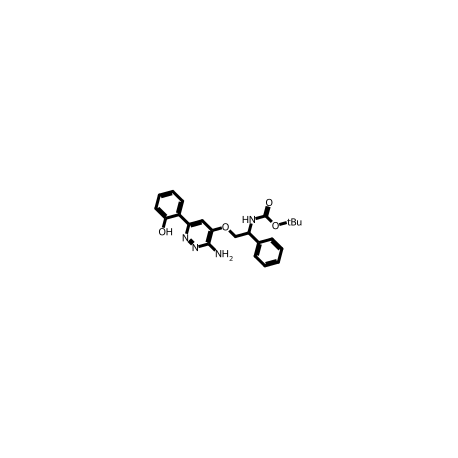 CC(C)(C)OC(=O)NC(COc1cc(-c2ccccc2O)nnc1N)c1ccccc1